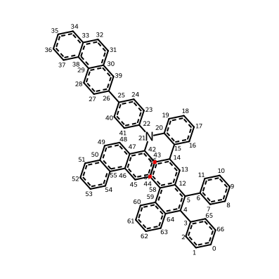 c1ccc(-c2c(-c3ccccc3)c3cc(-c4ccccc4N(c4ccc(-c5ccc6c(ccc7ccccc76)c5)cc4)c4cccc5c4ccc4ccccc45)ccc3c3ccccc23)cc1